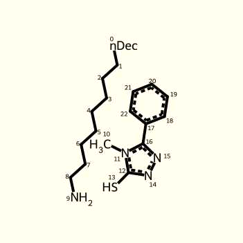 CCCCCCCCCCCCCCCCCCN.Cn1c(S)nnc1-c1ccccc1